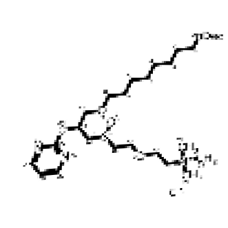 CCCCCCCCCCCCCCCCCCOCC(C[S+]([O-])CCOCC[N+](C)(C)C)Oc1ncccn1.[Cl-]